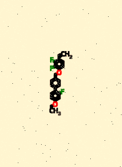 C=Cc1ccc(OCC2CCC(c3ccc(OCC)cc3F)CC2)c(F)c1F